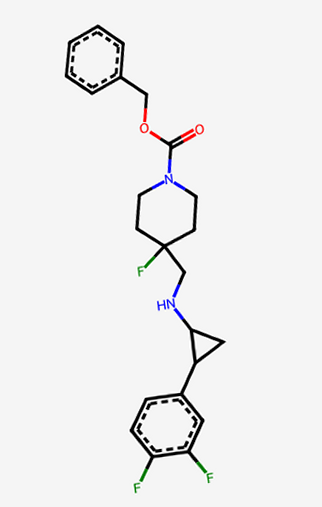 O=C(OCc1ccccc1)N1CCC(F)(CNC2CC2c2ccc(F)c(F)c2)CC1